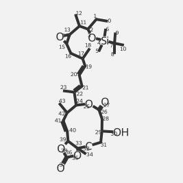 CCC(O[Si](C)(C)C(C)(C)C)C(C)C1OC1CC(C)/C=C/C=C(\C)C1OC(=O)CC(O)CCC2(C)OC(=O)OC2/C=C/C1C